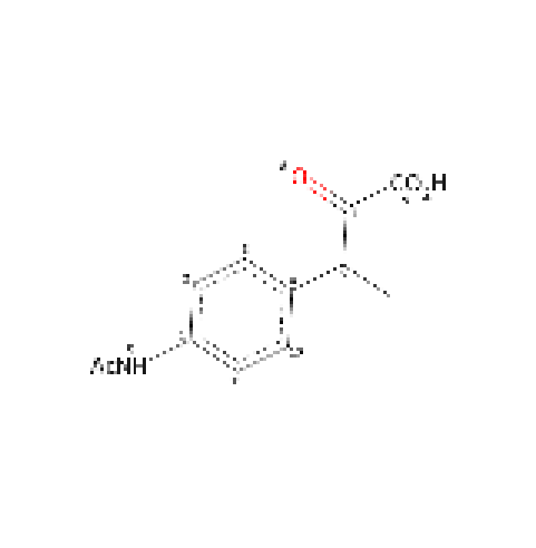 CC(=O)Nc1ccc(C(C)C(=O)C(=O)O)cc1